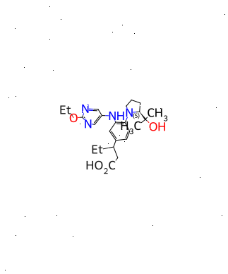 CCOc1ncc(Nc2cc(C(CC)CC(=O)O)ccc2N2CCC[C@H]2C(C)(C)O)cn1